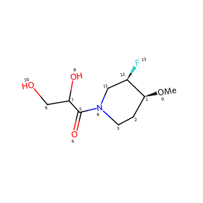 CO[C@H]1CCN(C(=O)C(O)CO)C[C@H]1F